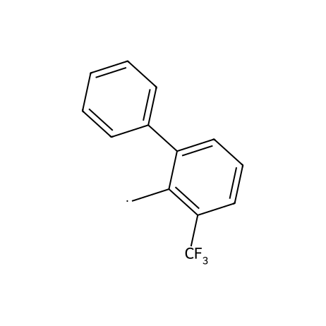 [CH2]c1c(-c2ccccc2)cccc1C(F)(F)F